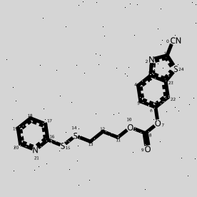 N#Cc1nc2ccc(OC(=O)OCCCSSc3ccccn3)cc2s1